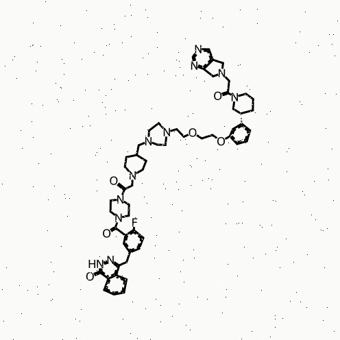 O=C(CN1CCC(CN2CCN(CCOCCOc3cccc([C@H]4CCCN(C(=O)CN5Cc6cncnc6C5)C4)c3)CC2)CC1)N1CCN(C(=O)c2cc(Cc3n[nH]c(=O)c4ccccc34)ccc2F)CC1